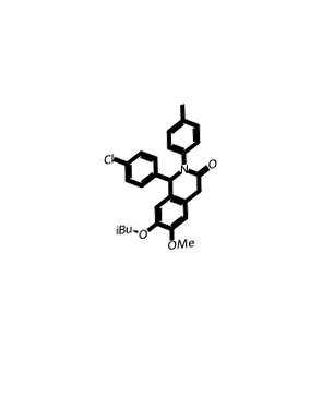 CC[C@@H](C)Oc1cc2c(cc1OC)CC(=O)N(c1ccc(C)cc1)C2c1ccc(Cl)cc1